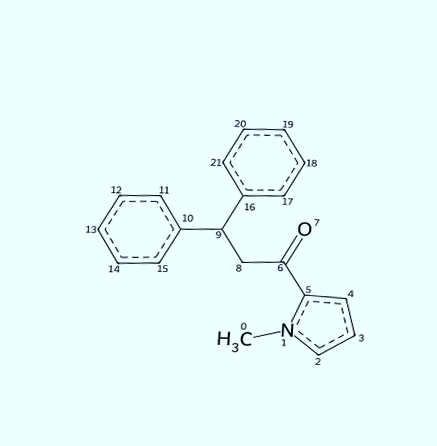 Cn1cccc1C(=O)CC(c1ccccc1)c1ccccc1